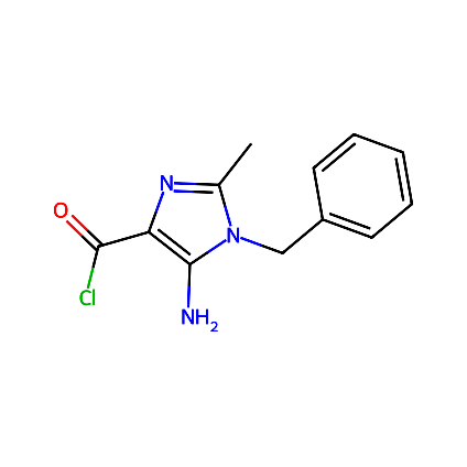 Cc1nc(C(=O)Cl)c(N)n1Cc1ccccc1